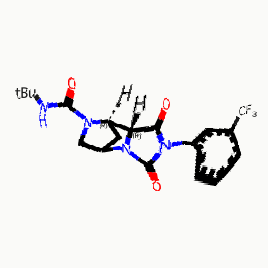 CC(C)(C)NC(=O)N1CC2C[C@@H]1[C@@H]1C(=O)N(c3cccc(C(F)(F)F)c3)C(=O)N21